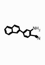 N#Cc1ccc(-c2ccc3ccccc3c2)cc1N